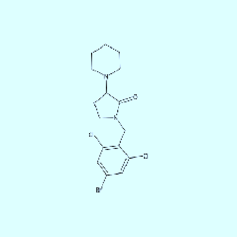 O=C1C(N2CCCCC2)CCN1Cc1c(Cl)cc(Br)cc1Cl